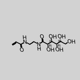 C=CC(=O)NCCNC(=O)[C@H](O)[C@@H](O)[C@H](O)[C@H](O)CO